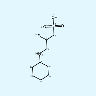 O=S(=O)(O)CC(F)CNC1CCCCC1